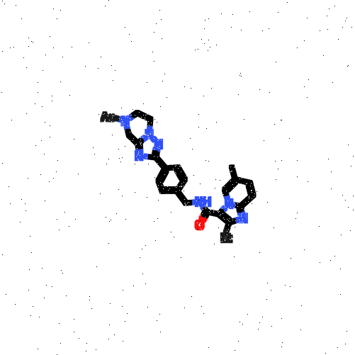 CCc1nc2ccc(C)cn2c1C(=O)NCc1ccc(-c2nc3n(n2)CCN(C(C)=O)C3)cc1